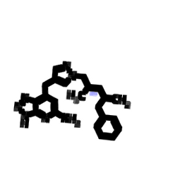 C=C(/C=C(\C)Cn1cc(Cc2cc(N)nc3[nH]nnc23)cn1)Cc1ccccc1